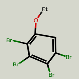 CCOc1cc(Br)c(Br)c(Br)c1Br